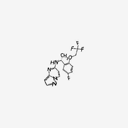 C[C@@H](Nc1ccn2nccc2n1)c1cc(F)ccc1OCC(F)(F)F